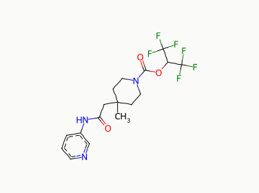 CC1(CC(=O)Nc2cccnc2)CCN(C(=O)OC(C(F)(F)F)C(F)(F)F)CC1